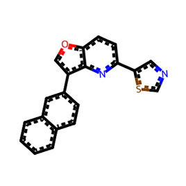 c1ccc2cc(-c3coc4ccc(-c5cncs5)nc34)ccc2c1